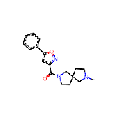 CN1CCC2(CCN(C(=O)c3cc(-c4ccccc4)on3)C2)C1